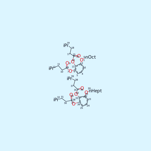 CCCCCCCCOc1cccc(OC(=O)CCC(C)C)c1OC(=O)CCC(C)C.CCCCCCCOc1cccc(OC(=O)CCC(C)C)c1OC(=O)CCC(C)C